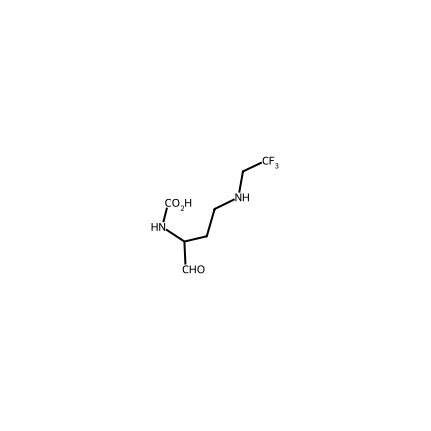 O=CC(CCNCC(F)(F)F)NC(=O)O